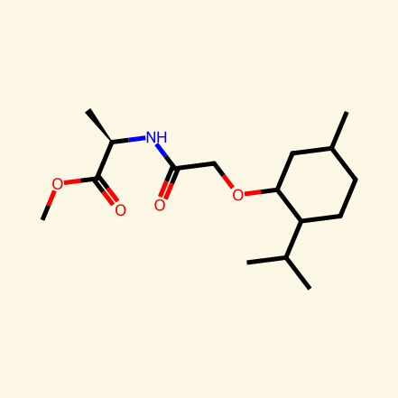 COC(=O)[C@@H](C)NC(=O)COC1CC(C)CCC1C(C)C